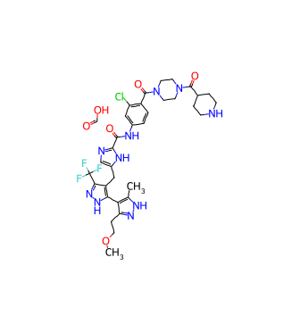 COCCc1n[nH]c(C)c1-c1[nH]nc(C(F)(F)F)c1Cc1cnc(C(=O)Nc2ccc(C(=O)N3CCN(C(=O)C4CCNCC4)CC3)c(Cl)c2)[nH]1.O=CO